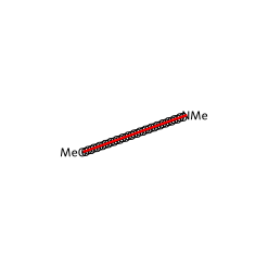 CNCCOCCOCCOCCOCCOCCOCCOCCOCCOCCOCCOCCOCCOCCOCCOCCOCCOCCOCCOCCOCCOCCOCCOCCOCCOCCOCCOCCOCCOCCOCCOCCOCCOCCOCCOCCOC